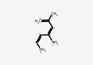 C=C(C)/C=C(N)\C=C/N